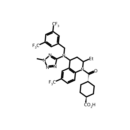 CCC1CC(N(Cc2cc(C(F)(F)F)cc(C(F)(F)F)c2)c2nnn(C)n2)c2cc(C(F)(F)F)ccc2N1C(=O)[C@H]1CC[C@H](C(=O)O)CC1